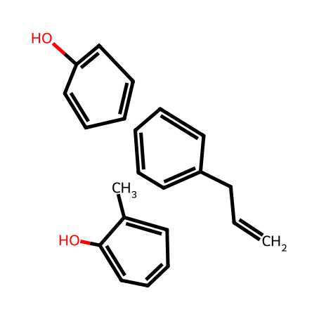 C=CCc1ccccc1.Cc1ccccc1O.Oc1ccccc1